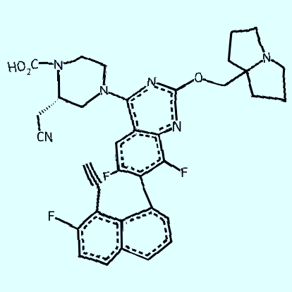 C#Cc1c(F)ccc2cccc(-c3c(F)cc4c(N5CCN(C(=O)O)[C@@H](CC#N)C5)nc(OCC56CCCN5CCC6)nc4c3F)c12